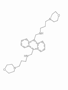 c1ccc2c(CNCCCN3CCOCC3)c3ccccc3c(CNCCCN3CCOCC3)c2c1